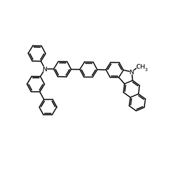 Cn1c2ccc(-c3ccc(-c4ccc(N(c5ccccc5)c5cccc(-c6ccccc6)c5)cc4)cc3)cc2c2cc3ccccc3cc21